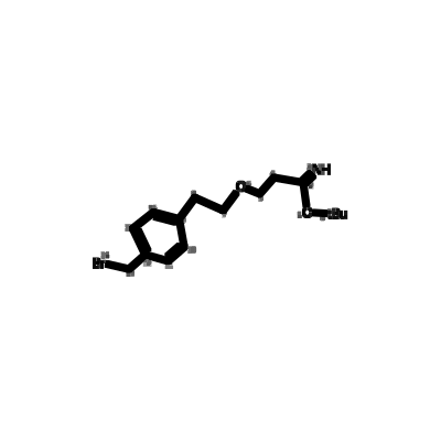 CC(C)(C)OC(=N)CCOCCc1ccc(CBr)cc1